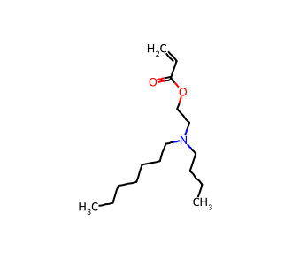 C=CC(=O)OCCN(CCCC)CCCCCCC